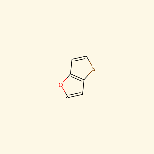 [c]1cc2sccc2o1